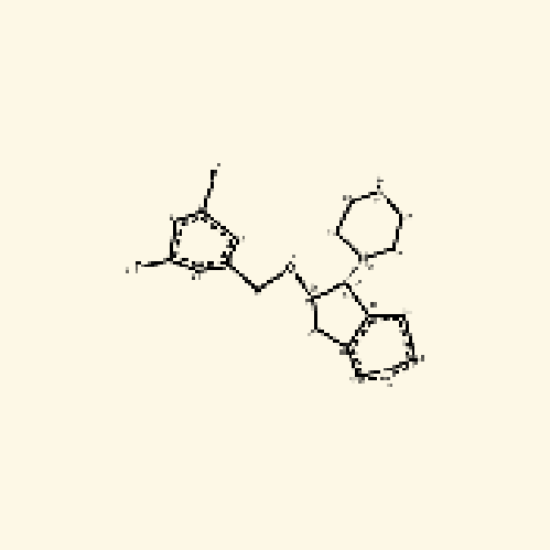 Fc1cc(F)cc(CO[C@@H]2Cc3ccccc3[C@H]2N2CCNCC2)c1